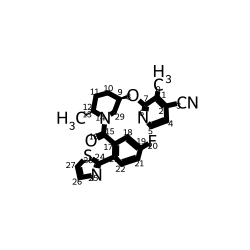 Cc1c(C#N)ccnc1O[C@@H]1CC[C@@H](C)N(C(=O)c2cc(F)ccc2-c2nccs2)C1